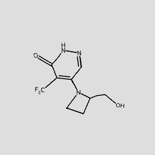 O=c1[nH]ncc(N2CCC2CO)c1C(F)(F)F